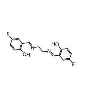 Oc1ccc(F)cc1/C=N/CC/N=C/c1cc(F)ccc1O